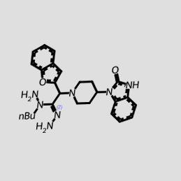 CCCCN(N)/C(=N\N)C(c1cc2ccccc2o1)N1CCC(n2c(=O)[nH]c3ccccc32)CC1